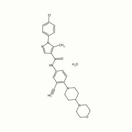 C#Cc1cc(NC(=O)c2cnn(-c3ccc(Cl)cc3)c2C)ccc1N1CCC(N2CCOCC2)CC1.O